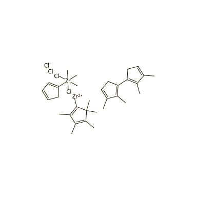 CC1=C(C)C(C)(C)[C]([Zr+2])=C1C.CC1=CCC(C2=C(C)C(C)=CC2)=C1C.[CH3][Zr]([CH3])([CH3])([Cl])([Cl])[C]1=CC=CC1.[Cl-].[Cl-]